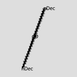 CCCCCCCCCCCCCCCCCCCCCCCCCCCCCCCCCCOC(=O)CCCCCCCCCCCCCCCCCCCCCCCCCCCCCCC